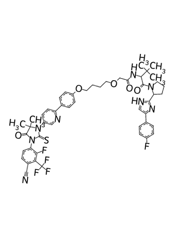 CC(C)(C)C(NC(=O)COCCCCOc1ccc(-c2ccc(N3C(=S)N(c4ccc(C#N)c(C(F)(F)F)c4F)C(=O)C3(C)C)cn2)cc1)C(=O)N1CCCC1c1nc(-c2ccc(F)cc2)c[nH]1